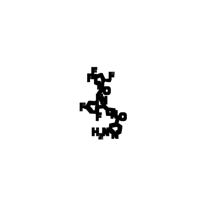 Nc1cc(C(=O)N2CC(c3nn(CC(=O)N4CC(F)(F)C[C@H]4CF)c4cc(F)cc(F)c34)C2)ccn1